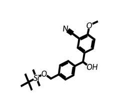 COc1ccc(C(O)c2ccc(CO[Si](C)(C)C(C)(C)C)cc2)cc1C#N